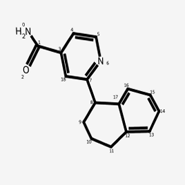 NC(=O)c1ccnc(C2CCCc3ccccc32)c1